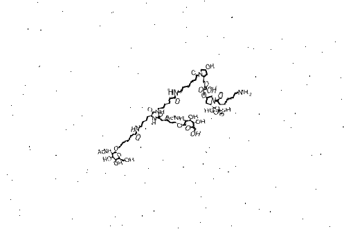 CC(=O)NC1[C@H](OCCCCC(=O)NCCCC[C@H](NC(=O)CCCCOC2OC(CO)[C@H](O)[C@H](O)[C@@H]2NC(C)=O)C(=O)NCCCCCC(=O)NCCCCCC(=O)N2C[C@H](O)C[C@H]2COP(=O)(O)O[C@@H]2C[C@@H](COP(=O)(S)OO)N(C(=O)CCCCCN)C2)OC(CO)C(O)[C@H]1O